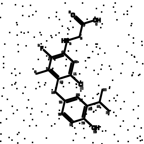 Cc1c(F)c(NCC(=O)O)cc(Cl)c1Cc1ccc(O)c(C(C)C)c1